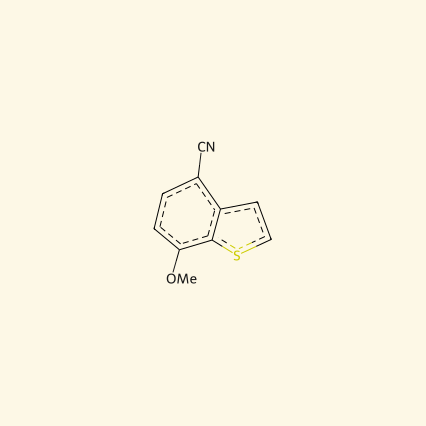 COc1ccc(C#N)c2ccsc12